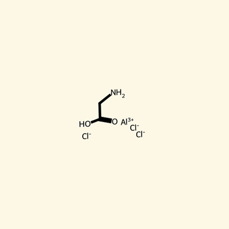 NCC(=O)O.[Al+3].[Cl-].[Cl-].[Cl-]